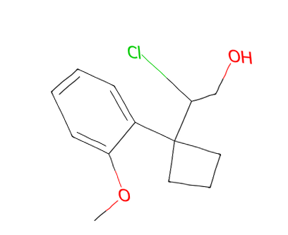 COc1ccccc1C1(C(Cl)CO)CCC1